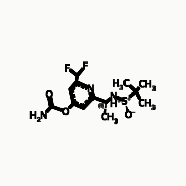 C[C@@H](N[S@@+]([O-])C(C)(C)C)c1cc(OC(N)=O)cc(C(F)F)n1